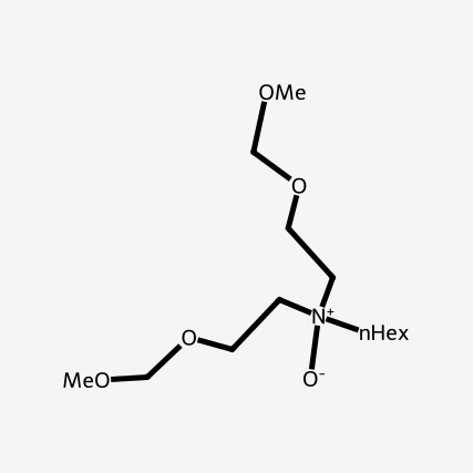 CCCCCC[N+]([O-])(CCOCOC)CCOCOC